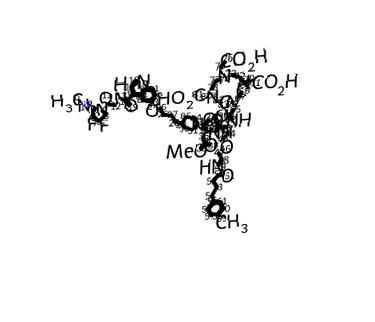 C/N=C/[C@H]1CC(F)(F)CN1C(=O)CNC(=O)c1ccnc2ccc(OCCCCC3CCN(C(=O)[C@H](CC(=O)OC)NC(=O)[C@H](CCOCCNC(=O)CCCc4ccc(C)cc4)NC(=O)CN4CCN(CC(=O)O)CCN(CC(=O)O)CCN(CC(=O)O)CC4)CC3)cc12